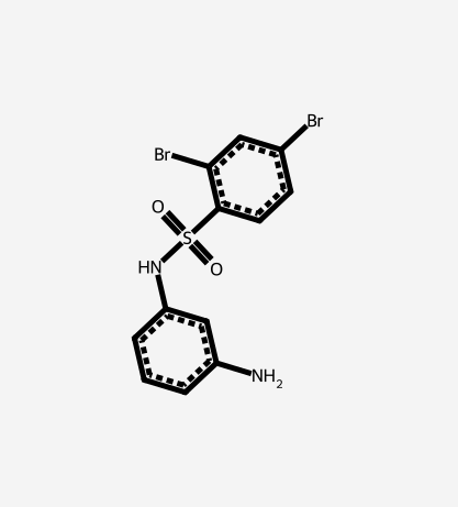 Nc1cccc(NS(=O)(=O)c2ccc(Br)cc2Br)c1